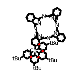 CC(C)(C)c1cc[c]([Cu]([c]2ccc(C(C)(C)C)cc2)([c]2ccc(C(C)(C)C)cc2)([c]2ccc(C(C)(C)C)cc2)[c]2ccc3c4nc5nc(nc6[nH]c(nc7nc(nc([nH]4)c3c2)-c2ccccc2-7)c2ccccc62)-c2ccccc2-5)cc1